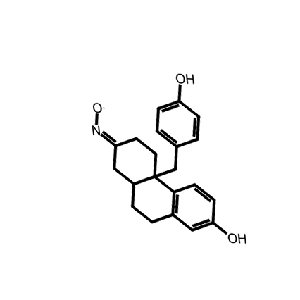 [O]N=C1CCC2(Cc3ccc(O)cc3)c3ccc(O)cc3CCC2C1